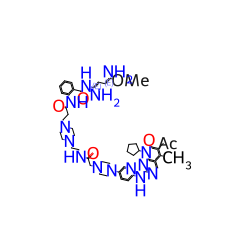 CO/C(N)=C/C=C(\N)NC(=O)c1ccccc1NC(=O)CCN1CCN(CCNC(=O)CN2CCN(c3ccc(Nc4ncc5c(C)c(C(C)=O)c(=O)n(C6CCCC6)c5n4)nc3)CC2)CC1